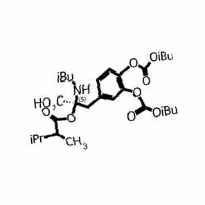 CCC(C)N[C@@](Cc1ccc(OC(=O)OCC(C)C)c(OC(=O)OCC(C)C)c1)(OC(=O)C(C)C(C)C)C(=O)O